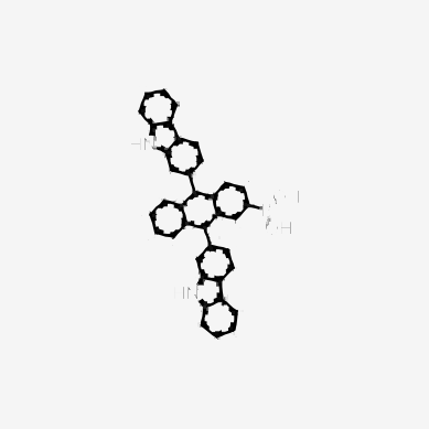 OB(O)c1ccc2c(-c3ccc4c(c3)[nH]c3ccccc34)c3ccccc3c(-c3ccc4c(c3)[nH]c3ccccc34)c2c1